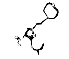 CC(C)Oc1nn(CCN2CCOCC2)cc1[N+](=O)[O-]